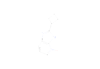 [O-][n+]1cccc2nc(C3CCC3)[nH]c21